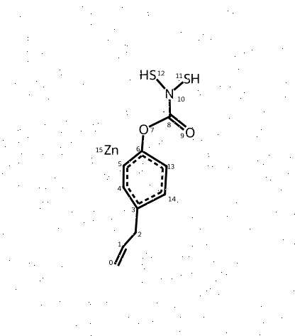 C=CCc1ccc(OC(=O)N(S)S)cc1.[Zn]